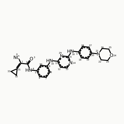 N#CC(C(=O)Nc1cccc(Nc2ccnc(Nc3ccc(N4CCOCC4)cc3)n2)c1)=C1CC1